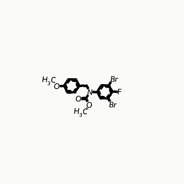 COC(=O)N(Cc1ccc(OC)cc1)c1cc(Br)c(F)c(Br)c1